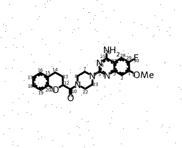 COc1cc2nc(N3CCN(C(=O)C4CCc5ccccc5O4)CC3)nc(N)c2cc1F